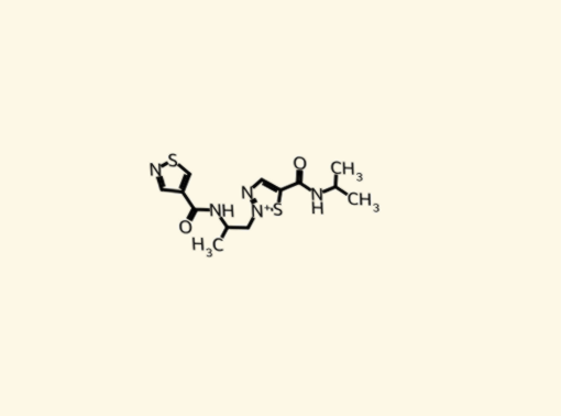 CC(C)NC(=O)c1cn[n+](CC(C)NC(=O)c2cnsc2)s1